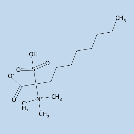 CCCCCCCCC(C(=O)[O-])([N+](C)(C)C)S(=O)(=O)O